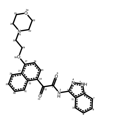 O=C(Nc1n[nH]c2ccccc12)C(=O)c1ccc(OCCN2CCOCC2)c2ccccc12